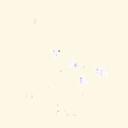 CCOc1ccc(S(=O)(=O)N2CCNCC2N2CCN(CCCF)CC2)cc1C(=O)O